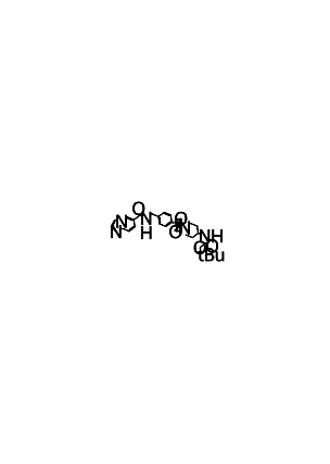 CC(C)(C)OC(=O)NC1CCN(S(=O)(=O)c2ccc(CNC(=O)c3ccc4nccn4c3)cc2)CC1